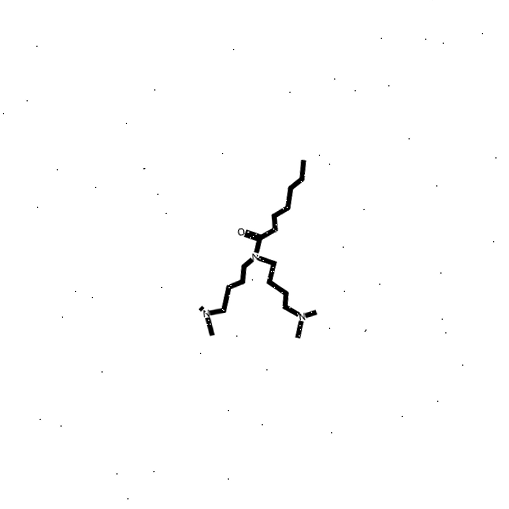 CCCCCCC(=O)N(CCCCN(C)C)CCCCN(C)C